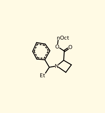 CCCCCCCCOC(=O)C1CCN1C(CC)c1ccccc1